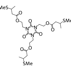 CSC(C)CC(=O)OCCn1c(=O)n(CCOC(=O)CC(C)SC)c(=O)n(CCOC(=O)CC(C)SC)c1=O